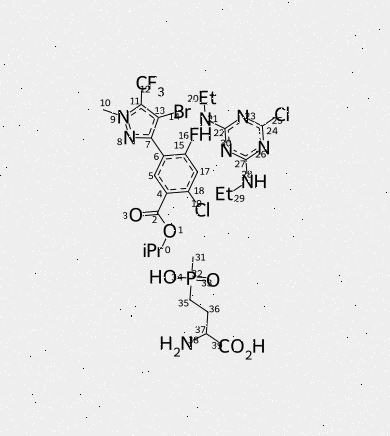 CC(C)OC(=O)c1cc(-c2nn(C)c(C(F)(F)F)c2Br)c(F)cc1Cl.CCNc1nc(Cl)nc(NCC)n1.CP(=O)(O)CCC(N)C(=O)O